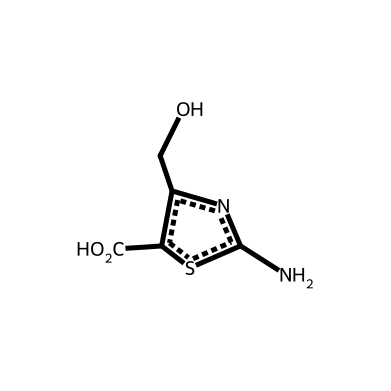 Nc1nc(CO)c(C(=O)O)s1